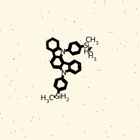 C[SiH2]c1ccc(-n2c3ccccc3c3c4c(ccc32)c2c(n4-c3ccc([SiH](C)C)cc3)CCCC2)cc1